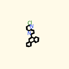 Clc1ccc2nc(-c3cc4ccccc4c4ccccc34)ccc2n1